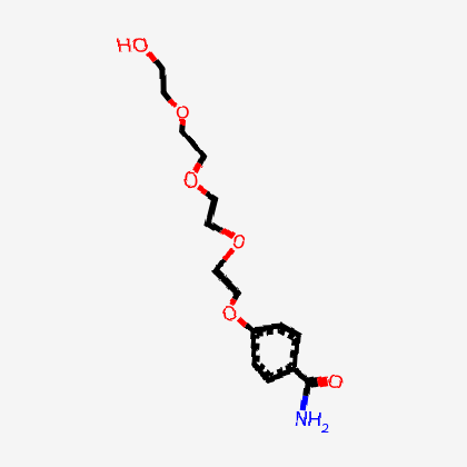 NC(=O)c1ccc(OCCOCCOCCOCCO)cc1